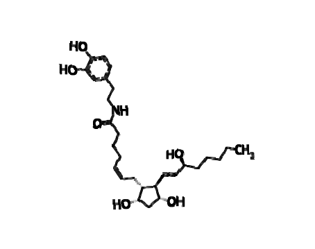 CCCCC[C@H](O)/C=C/[C@@H]1[C@@H](C/C=C\CCCC(=O)NCCc2ccc(O)c(O)c2)[C@@H](O)C[C@H]1O